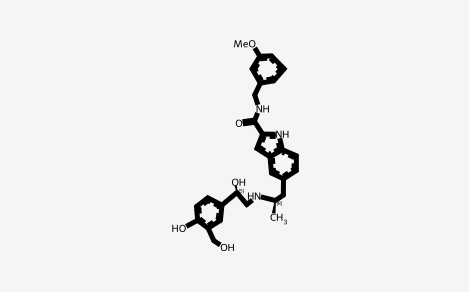 COc1cccc(CNC(=O)c2cc3cc(C[C@@H](C)NC[C@@H](O)c4ccc(O)c(CO)c4)ccc3[nH]2)c1